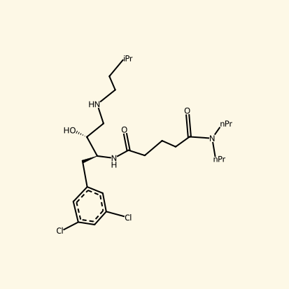 CCCN(CCC)C(=O)CCCC(=O)N[C@@H](Cc1cc(Cl)cc(Cl)c1)[C@H](O)CNCCC(C)C